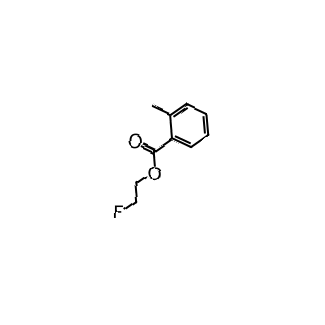 Cc1ccccc1C(=O)OCCF